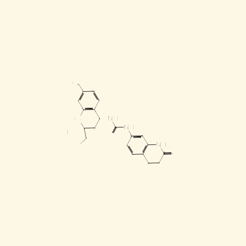 C[C@@]1(CF)C[C@@H](NC(=O)Nc2ccc3c(c2)NC(=O)CC3)c2ccc(Cl)cc2O1